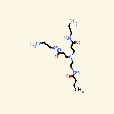 CCCC(=O)NCCN(CCC(=O)NCCN)CCC(=O)NCCN